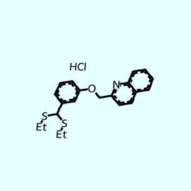 CCSC(SCC)c1cccc(OCc2ccc3ccccc3n2)c1.Cl